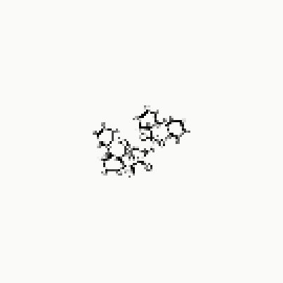 C=CC(=O)N(CP1(=O)Oc2ccccc2-c2ccccc21)CP1(=O)Oc2ccccc2-c2ccccc21